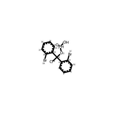 O=[PH](O)OC(Cl)(c1ccccc1Br)c1ccccc1Br